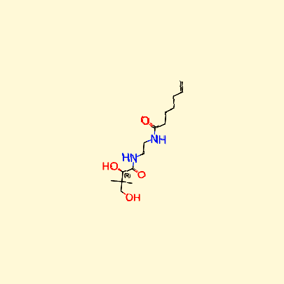 C=CCCCCC(=O)NCCNC(=O)[C@H](O)C(C)(C)CO